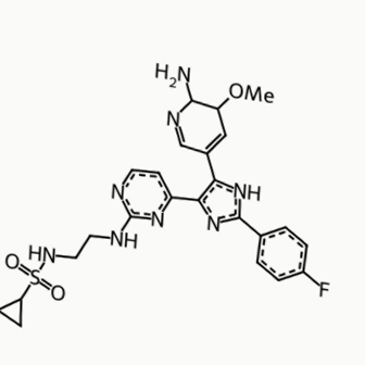 COC1C=C(c2[nH]c(-c3ccc(F)cc3)nc2-c2ccnc(NCCNS(=O)(=O)C3CC3)n2)C=NC1N